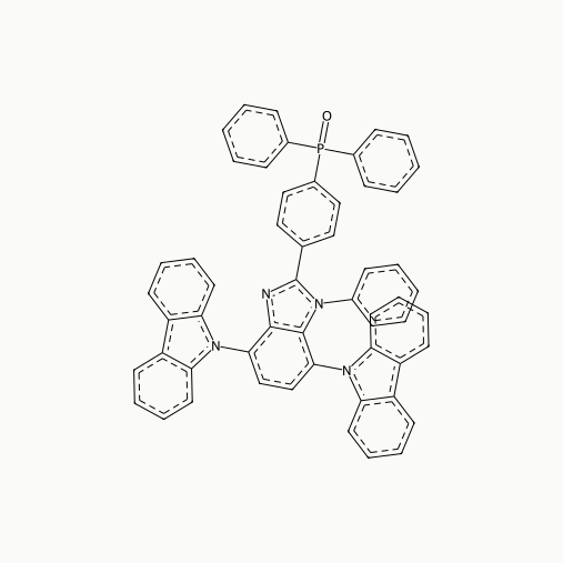 O=P(c1ccccc1)(c1ccccc1)c1ccc(-c2nc3c(-n4c5ccccc5c5ccccc54)ccc(-n4c5ccccc5c5ccccc54)c3n2-c2ccccc2)cc1